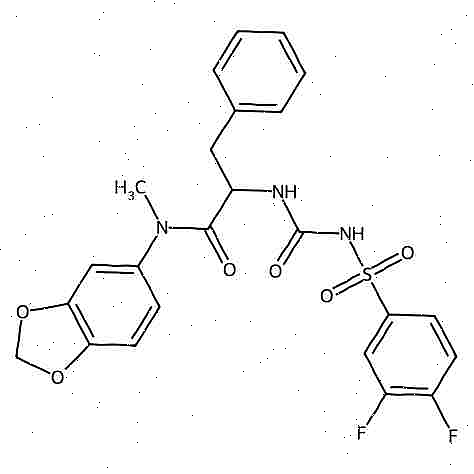 CN(C(=O)C(Cc1ccccc1)NC(=O)NS(=O)(=O)c1ccc(F)c(F)c1)c1ccc2c(c1)OCO2